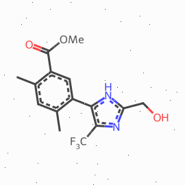 COC(=O)c1cc(-c2[nH]c(CO)nc2C(F)(F)F)c(C)cc1C